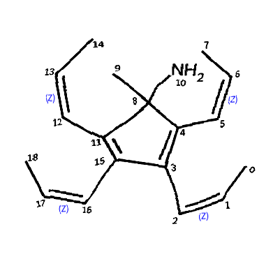 C/C=C\C1=C(/C=C\C)C(C)(N)C(/C=C\C)=C1/C=C\C